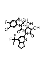 [2H]C([2H])([2H])N(C(=O)[C@@H]1[C@H](O)[C@H](O)C(=O)N1c1cc(C(F)(F)F)c2c(n1)CCC2)c1cc(Cl)c(F)cc1F